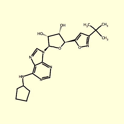 CC(C)(C)c1cc([C@H]2O[C@@H](n3cnc4c(NC5CCCC5)ncnc43)[C@H](O)[C@@H]2O)on1